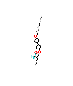 CCCCCCCCCCOc1ccc(-c2ccc(OC(=O)CC(CCCC)C(F)(F)F)cc2)cc1